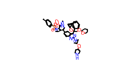 Cc1ccc(S(=O)(=O)n2ccc3c(-c4ccc5nc(N6CC(OC7CCNCC7)C6)nc(C(COC6CCCCO6)(OC6CC6)c6ccccc6)c5c4)cn(C)c(=O)c32)cc1